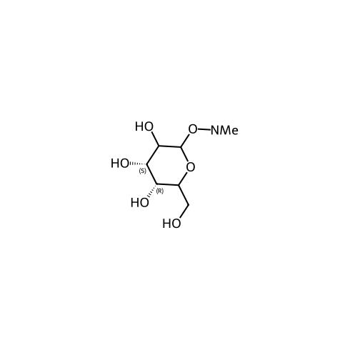 CNOC1OC(CO)[C@H](O)[C@H](O)C1O